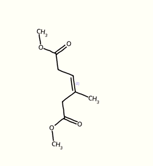 COC(=O)C/C=C(/C)CC(=O)OC